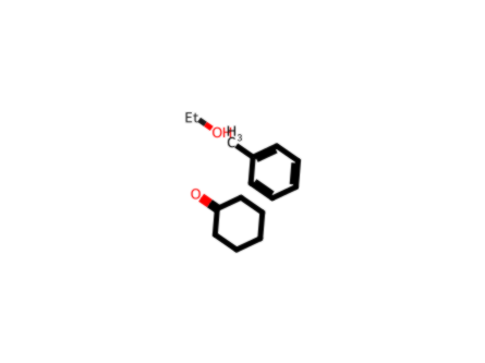 CCO.Cc1ccccc1.O=C1CCCCC1